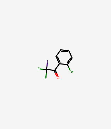 O=C(c1ccccc1Br)C(F)(F)I